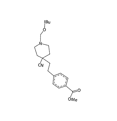 COC(=O)c1ccc(CCC2(C#N)CCN(COC(C)(C)C)CC2)cc1